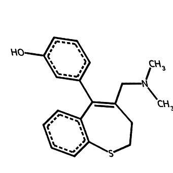 CN(C)CC1=C(c2cccc(O)c2)c2ccccc2SCC1